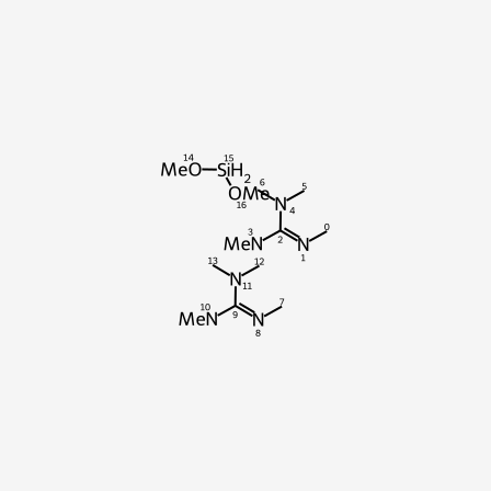 CN=C(NC)N(C)C.CN=C(NC)N(C)C.CO[SiH2]OC